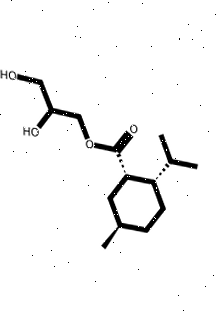 CC(C)[C@@H]1CC[C@@H](C)C[C@@H]1C(=O)OCC(O)CO